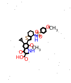 COc1ccc(S(=O)(=O)NC2CCCc3sc(-c4c(C5CC5)cc5c(=O)c(C(=O)O)c[nH]c5c4OC)cc32)cc1